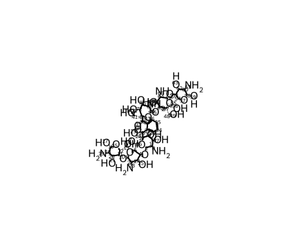 N[C@H]1[C@@H](OC2[C@@H](CO)O[C@@H](OC3[C@@H](CO)O[C@@H](O)[C@H](N)[C@H]3O)[C@H](N)[C@H]2O)O[C@@](CO)(C(=O)c2ccccc2C(=O)[C@]2(CO)O[C@H](OC3[C@@H](CO)O[C@@H](OC4[C@@H](CO)O[C@@H](O)[C@H](N)[C@H]4O)[C@H](N)[C@H]3O)[C@H](N)[C@@H](O)[C@@H]2O)[C@@H](O)[C@@H]1O